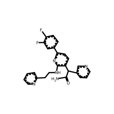 NC(=O)C(c1cccnc1)c1ccc(-c2ccc(F)c(F)c2)nc1NCCc1ccccn1